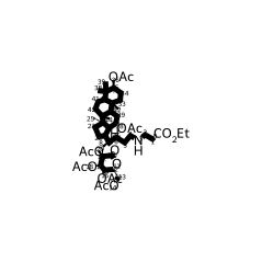 CCOC(=O)CCNCCC[C@](C)(O[C@H]1O[C@H](COC(C)=O)[C@@H](OC(C)=O)[C@H](OC(C)=O)[C@H]1OC(C)=O)C1CC[C@]2(C)[C@@H]1C(OC(C)=O)CC1[C@@]3(C)CC[C@H](OC(C)=O)C(C)(C)C3CC[C@]12C